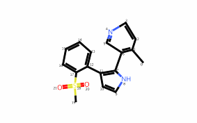 Cc1ccncc1-c1[nH]ccc1-c1ccccc1S(C)(=O)=O